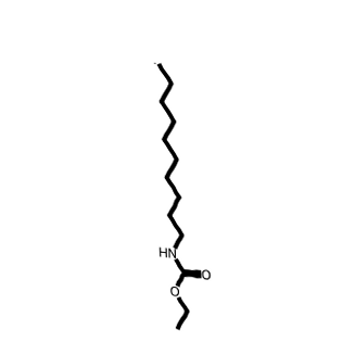 [CH2]CCCCCCCCCNC(=O)OCC